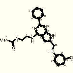 CNC(=O)NCCNc1nc(-c2ccccc2)nc2[nH]c(COc3cccc(Cl)c3)cc12